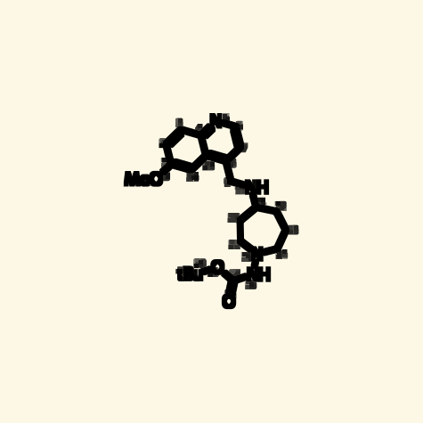 COc1ccc2nccc(CNC3CCCN(NC(=O)OC(C)(C)C)CC3)c2c1